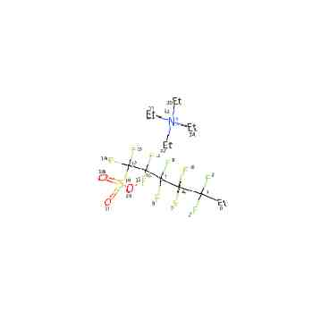 CCC(F)(F)C(F)(F)C(F)(F)C(F)(F)C(F)(F)S(=O)(=O)[O-].CC[N+](CC)(CC)CC